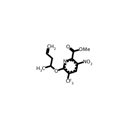 C=CCC(C)Oc1nc(C(=O)OC)c([N+](=O)[O-])cc1C(F)(F)F